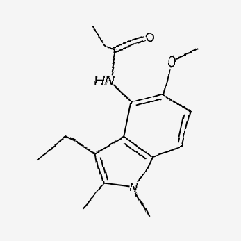 CCc1c(C)n(C)c2ccc(OC)c(NC(C)=O)c12